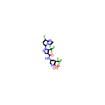 CS(=O)(=O)c1ncc(NC(=O)c2cnn(-c3ccc(F)c4nccn34)c2C(F)(F)F)cc1C(F)(F)F